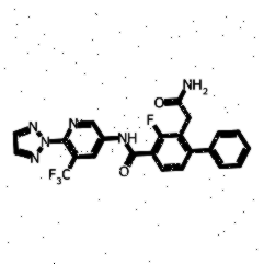 NC(=O)Cc1c(-c2ccccc2)ccc(C(=O)Nc2cnc(-n3nccn3)c(C(F)(F)F)c2)c1F